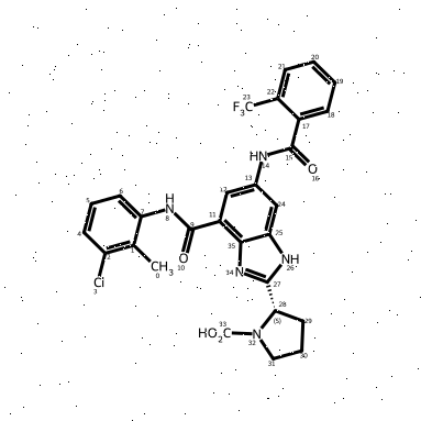 Cc1c(Cl)cccc1NC(=O)c1cc(NC(=O)c2ccccc2C(F)(F)F)cc2[nH]c([C@@H]3CCCN3C(=O)O)nc12